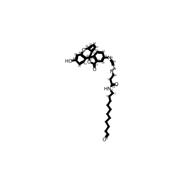 O=CCCCCCCCCCCNC(=O)CCN=S=C=Nc1ccc2c(c1)C(=O)OC21c2ccccc2Oc2cc(O)ccc21